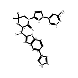 CC1(C)CN(c2ccn(-c3cnnc(C(F)(F)F)c3)n2)C(=O)C([C@@H](O)c2nc3cc(-c4cn[nH]c4)ccc3[nH]2)O1